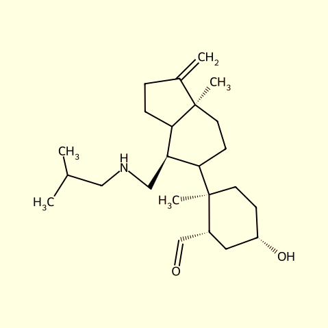 C=C1CCC2[C@H](CNCC(C)C)C([C@@]3(C)CC[C@H](O)C[C@@H]3C=O)CC[C@]12C